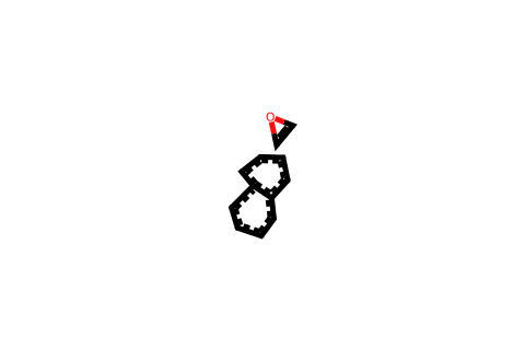 C1=CO1.c1ccc2ccccc2c1